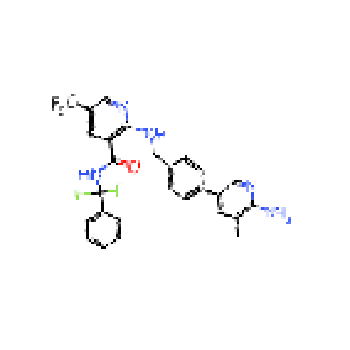 Cc1cc(-c2ccc(CNc3ncc(C(F)(F)F)cc3C(=O)NC(F)(F)c3ccccc3)cc2)cnc1N